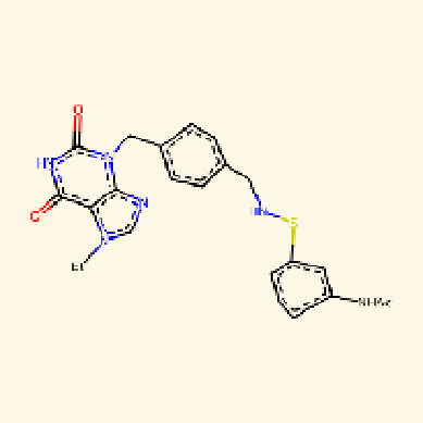 CCn1cnc2c1c(=O)[nH]c(=O)n2Cc1ccc(CNSc2cccc(NC(C)=O)c2)cc1